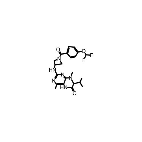 Cc1nc(NC2CN(C(=O)c3ccc(OC(F)F)cc3)C2)nc2c1NC(=O)C(C(C)C)N2C